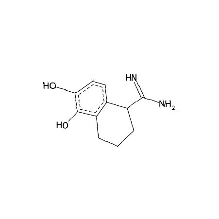 N=C(N)C1CCCc2c1ccc(O)c2O